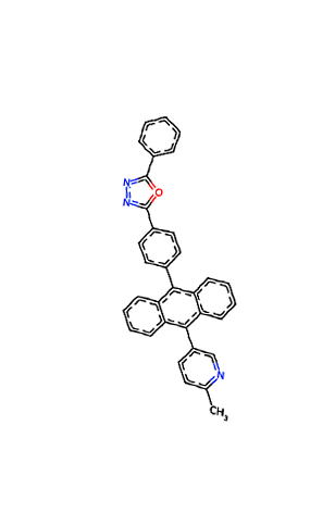 Cc1ccc(-c2c3ccccc3c(-c3ccc(-c4nnc(-c5ccccc5)o4)cc3)c3ccccc23)cn1